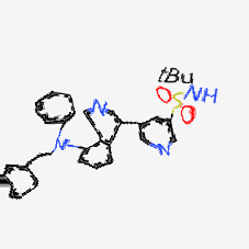 CC(C)(C)NS(=O)(=O)c1cncc(-c2cncc3c(N(CCc4ccccc4)c4ccccc4)cccc23)c1